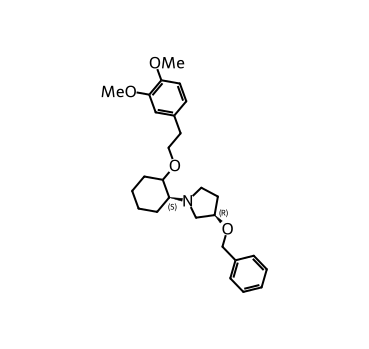 COc1ccc(CCOC2CCCC[C@@H]2N2CC[C@@H](OCc3ccccc3)C2)cc1OC